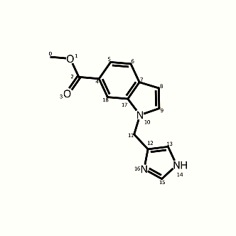 COC(=O)c1ccc2ccn(Cc3c[nH]cn3)c2c1